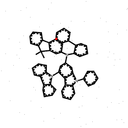 CC1(C)c2ccccc2-c2ccc(N(c3cc(-n4c5ccccc5c5ccccc54)c4c5ccccc5n(-c5ccccc5)c4c3)c3ccccc3-c3ccccc3)cc21